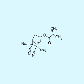 C=C(C)C(=O)OC1CC2CC1C(C#N)(C#N)C2(C#N)C#N